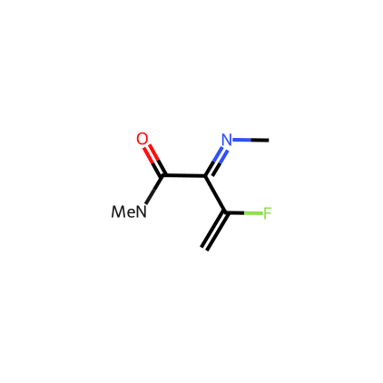 C=C(F)/C(=N\C)C(=O)NC